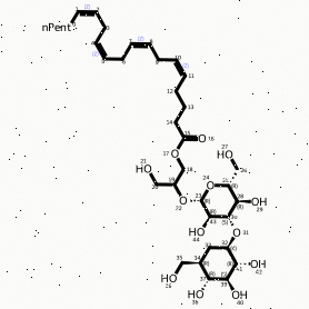 CCCCC/C=C\C/C=C\C/C=C\C/C=C\CCCC(=O)OCC(CO)O[C@@H]1O[C@H](CO)[C@@H](O)[C@H](O[C@@H]2C[C@H](CO)[C@@H](O)[C@H](O)[C@H]2O)[C@H]1O